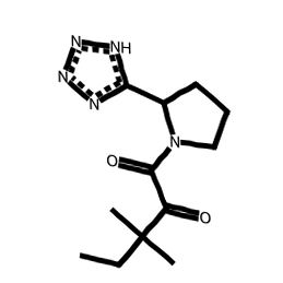 CCC(C)(C)C(=O)C(=O)N1CCCC1c1nnn[nH]1